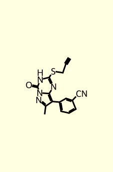 C#CCSc1nc2c(-c3cccc(C#N)c3)c(C)nn2c(=O)[nH]1